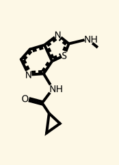 CNc1nc2ccnc(NC(=O)C3CC3)c2s1